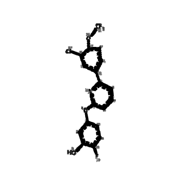 Oc1cc(Oc2cccc(-c3ccc(OC(F)(F)F)c(Cl)c3)n2)ccc1F